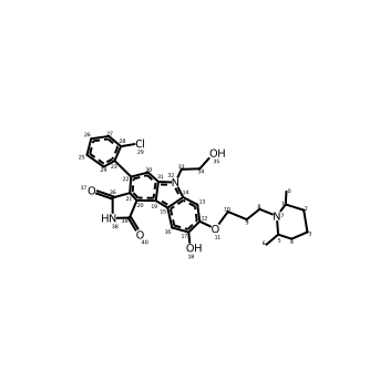 CC1CCCC(C)N1CCCOc1cc2c(cc1O)c1c3c(c(-c4ccccc4Cl)cc1n2CCO)C(=O)NC3=O